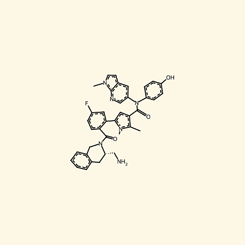 Cc1c(C(=O)N(c2ccc(O)cc2)c2cnc3c(ccn3C)c2)cc(-c2cc(F)ccc2C(=O)N2Cc3ccccc3C[C@H]2CN)n1C